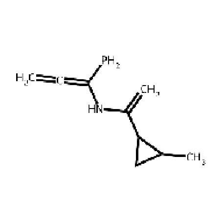 C=C=C(P)NC(=C)C1CC1C